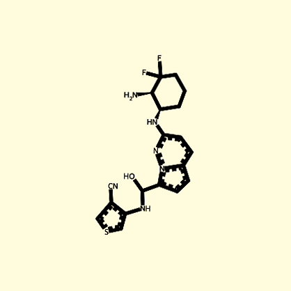 N#Cc1cscc1NC(O)c1ccc2ccc(N[C@@H]3CCCC(F)(F)[C@@H]3N)nn12